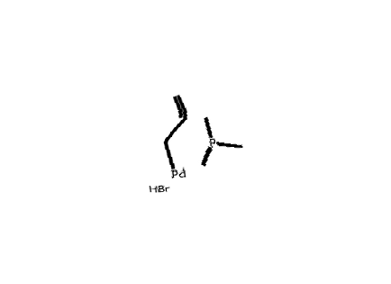 Br.C=C[CH2][Pd].CP(C)C